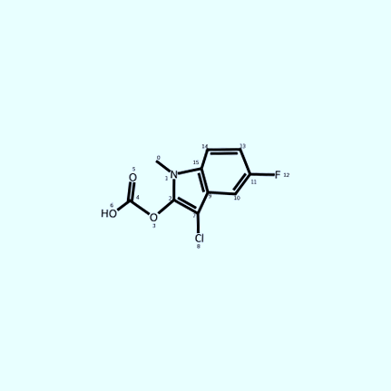 Cn1c(OC(=O)O)c(Cl)c2cc(F)ccc21